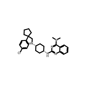 CN(C)c1nc(N[C@H]2CC[C@@H](NCC3(c4ccc(Cl)cc4)CCCC3)CC2)nc2ccccc12